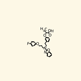 CCC(Oc1cccc(CCN(CCCOc2ccc(F)cc2)c2nc3ccccc3o2)c1)C(=O)O